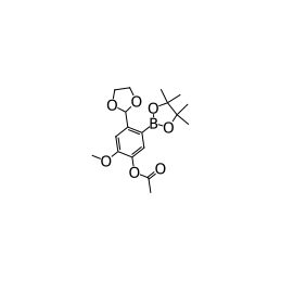 COc1cc(C2OCCO2)c(B2OC(C)(C)C(C)(C)O2)cc1OC(C)=O